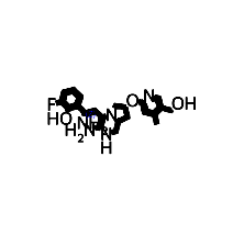 Cc1cc(OC2CC3CNC(N)=C(/C=C(\N)c4cccc(F)c4O)N3C2)ncc1CO